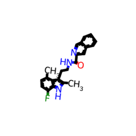 Cc1[nH]c2c(F)ccc(C)c2c1CCNC(=O)c1cc2ccccc2cn1